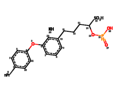 CCCc1ccc(Oc2cccc(CCCC(O[PH](=O)O)S(=O)(=O)O)c2)cc1.[KH]